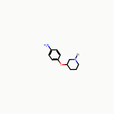 CCN1CCCC(Oc2ccc(N)cc2)C1